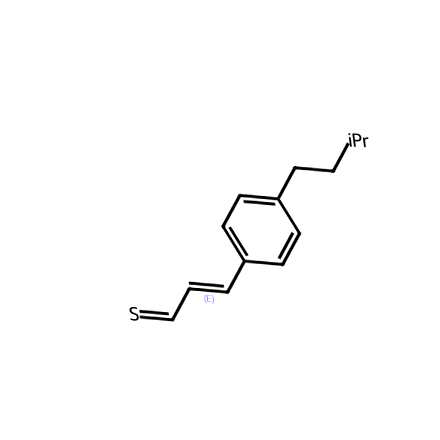 CC(C)CCc1ccc(/C=C/C=S)cc1